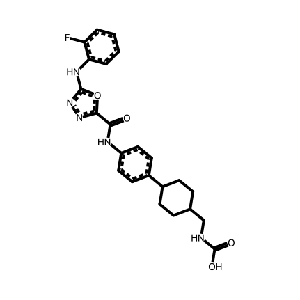 O=C(O)NCC1CCC(c2ccc(NC(=O)c3nnc(Nc4ccccc4F)o3)cc2)CC1